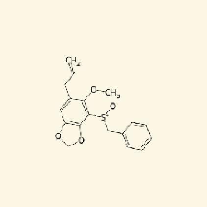 C=CCc1cc2c(c([S+]([O-])Cc3ccccc3)c1OC)OCO2